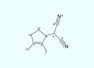 CC1=C(C)C(C(C#N)C#N)CC1